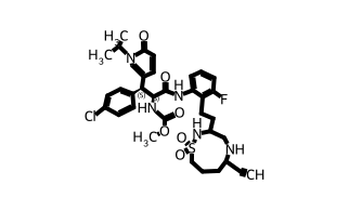 C#CC1CCCS(=O)(=O)NC(CCc2c(F)cccc2NC(=O)[C@@H](NC(=O)OC)[C@@H](c2ccc(Cl)cc2)c2ccc(=O)n(C(C)C)c2)CN1